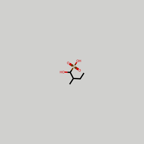 CC[C](C)C(O)S(=O)(=O)O